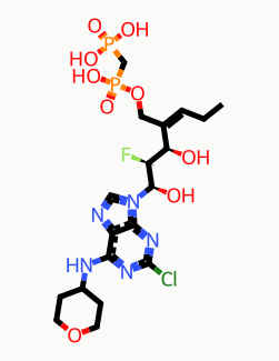 CC/C=C(/COP(=O)(O)CP(=O)(O)O)[C@@H](O)[C@H](F)[C@@H](O)n1cnc2c(NC3CCOCC3)nc(Cl)nc21